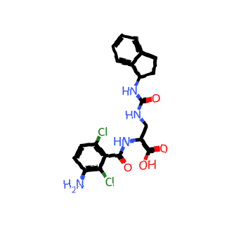 Nc1ccc(Cl)c(C(=O)NC(CNC(=O)NC2CCc3ccccc32)C(=O)O)c1Cl